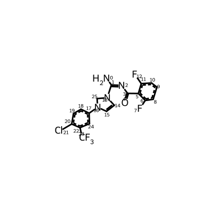 NC(=NC(=O)c1c(F)cccc1F)N1C=CN(c2ccc(Cl)c(C(F)(F)F)c2)C1